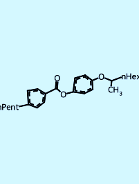 CCCCCCC(C)Oc1ccc(OC(=O)c2ccc(CCCCC)cc2)cc1